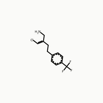 NCC(=CCl)CCc1ccc(C(F)(F)F)cc1